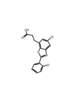 O=C(O)CCc1cc(Cl)cc2nc(-c3ccccc3Cl)oc12